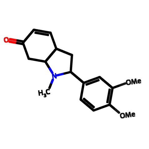 COc1ccc(C2CC3C=CC(=O)CC3N2C)cc1OC